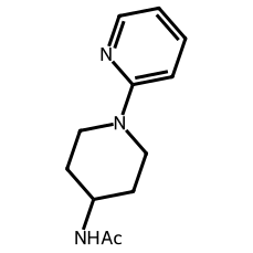 CC(=O)NC1CCN(c2ccccn2)CC1